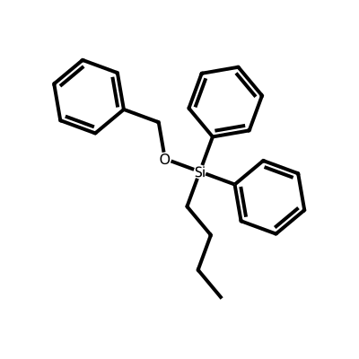 CCCC[Si](OCc1ccccc1)(c1ccccc1)c1ccccc1